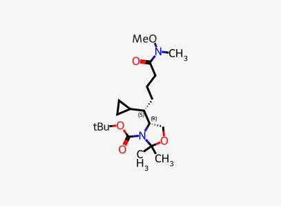 CON(C)C(=O)CCC[C@@H](C1CC1)[C@@H]1COC(C)(C)N1C(=O)OC(C)(C)C